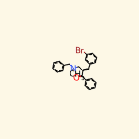 CN(C/C(=C\c1cccc(Br)c1)C(=O)c1ccccc1)Cc1ccccc1